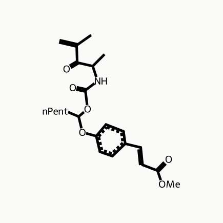 C=C(C)C(=O)C(C)NC(=O)OC(CCCCC)Oc1ccc(C=CC(=O)OC)cc1